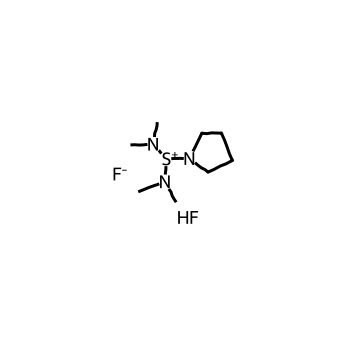 CN(C)[S+](N(C)C)N1CCCC1.F.[F-]